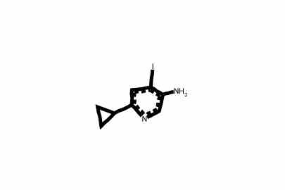 Nc1cnc(C2CC2)cc1I